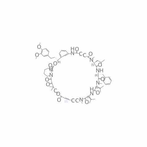 COc1ccc(CC[C@H]2OC(=O)[C@@H]3CCCCN3C(=O)C(=O)C(C)(C)COC(=O)/C=C\CCN(C)C(=O)[C@H](C(C)C)NC(=O)[C@H](C(C)C)N(C)C(=O)[C@@H](Cc3ccccc3)NC(=O)[C@H](CC(C)C)N(C)C(=O)CCC(=O)Nc3cccc2c3)cc1OC